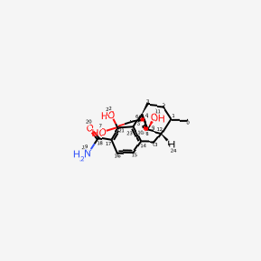 CC1CC[C@]23CC(O)C=C[C@@]2(O)[C@H]1Cc1ccc(C(N)=O)c(O)c13